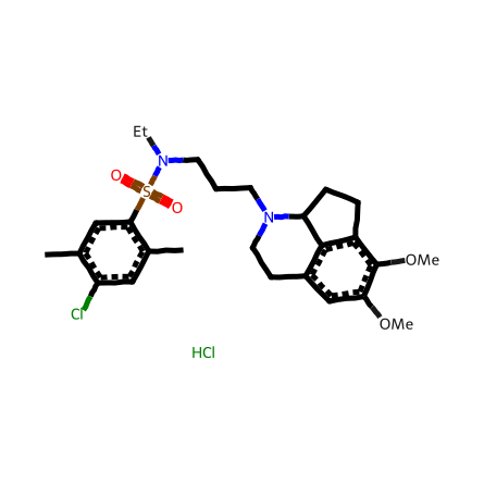 CCN(CCCN1CCc2cc(OC)c(OC)c3c2C1CC3)S(=O)(=O)c1cc(C)c(Cl)cc1C.Cl